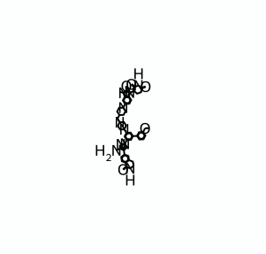 COc1cccc(-c2cc(N3CCN(CC4CCN(c5ccc6c(c5)n(C)c(=O)n6C5CCC(=O)NC5=O)CC4)CC3)cc(-n3cc(-c4ccc5c(c4)CCNC5=O)c(N)n3)c2)c1